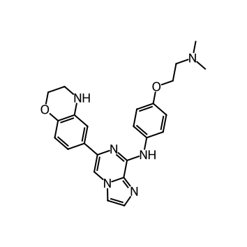 CN(C)CCOc1ccc(Nc2nc(-c3ccc4c(c3)NCCO4)cn3ccnc23)cc1